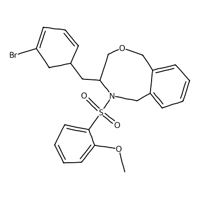 COc1ccccc1S(=O)(=O)N1Cc2ccccc2COCC1CC1C=CC=C(Br)C1